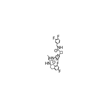 CCC[C@H](N[C@H]1CCc2cc(F)cc(F)c2C1)C(=O)Nc1cn(C2CCC2C(=O)NCc2ccc(F)c(F)c2)cn1